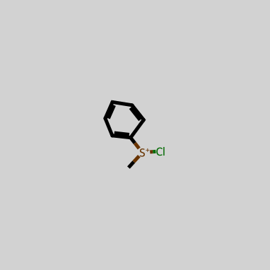 C[S+](Cl)c1ccccc1